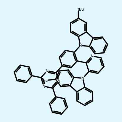 CC(C)(C)c1ccc2c(c1)c1ccccc1n2-c1ccc(-c2nc(-c3ccccc3)nc(-c3ccccc3)n2)cc1-c1ncccc1-n1c2ccccc2c2cc(C(C)(C)C)ccc21